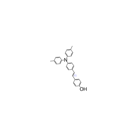 Cc1ccc(N(c2ccc(C)cc2)c2ccc(/C=C/c3ccc(O)cc3)cc2)cc1